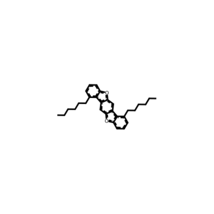 CCCCCCc1cccc2oc3cc4c(cc3c12)oc1cccc(CCCCCC)c14